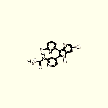 CC(=O)Nc1cc(-c2[nH]c3cc(Cl)cnc3c2-c2cccc(F)n2)ccn1